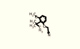 COc1cccc(OCC#N)c1C(C)(C)C